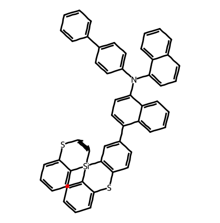 c1ccc(-c2ccc(N(c3cccc4ccccc34)c3ccc(-c4ccc5c(c4)[Si]4(c6ccccc6Sc6ccccc64)c4ccccc4S5)c4ccccc34)cc2)cc1